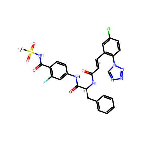 CS(=O)(=O)NC(=O)c1ccc(NC(=O)[C@H](Cc2ccccc2)NC(=O)/C=C/c2cc(Cl)ccc2-n2cnnn2)cc1F